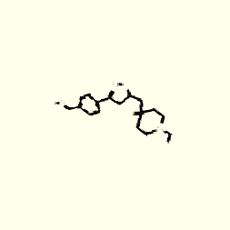 NN=Cc1ccc(C2=NOC(CC3(O)CCN(CC(=O)O)CC3)C2)cc1